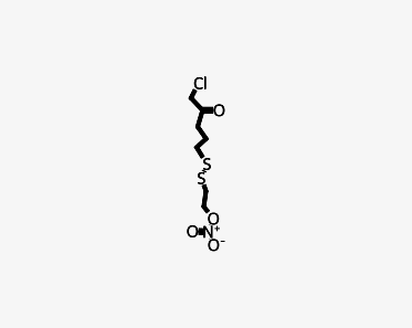 O=C(CCl)CCCSSCCO[N+](=O)[O-]